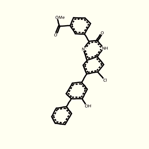 COC(=O)c1cccc(-c2nc3cc(-c4ccc(-c5ccccc5)c(O)c4)c(Cl)cc3[nH]c2=O)c1